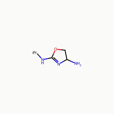 CC(C)NC1=NC(N)CO1